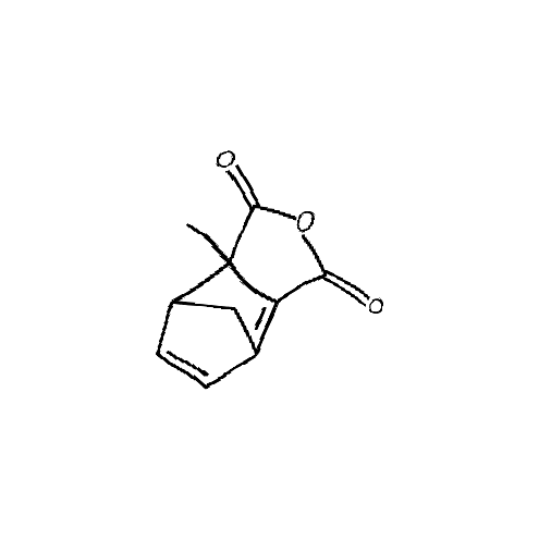 CC12C(=O)OC(=O)C1=C1C=CC2C1